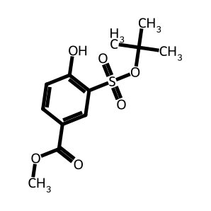 COC(=O)c1ccc(O)c(S(=O)(=O)OC(C)(C)C)c1